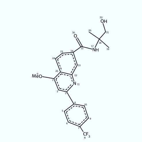 COc1cc(-c2ccc(C(F)(F)F)cc2)nc2cc(C(=O)NC(C)(C)CO)ccc12